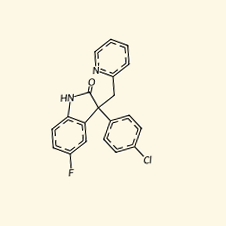 O=C1Nc2ccc(F)cc2C1(Cc1ccccn1)c1ccc(Cl)cc1